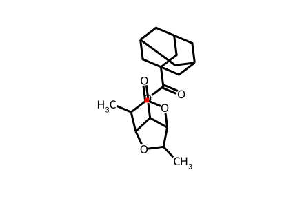 CC1OC2C(C)C(=O)OC1C2OC(=O)C12CC3CC(CC(C3)C1)C2